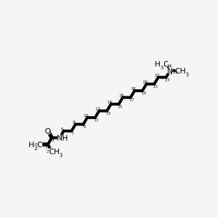 C=C(C)C(=O)NCCCCCCCCCCCCCCCCCCN(C)C